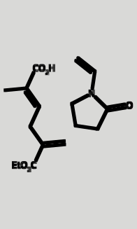 C=C(CC=C(C)C(=O)O)C(=O)OCC.C=CN1CCCC1=O